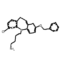 NCCCCN1C2=CC=C(OCc3ccccc3)CC2=CCc2ccc(Cl)cc21